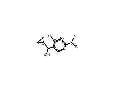 OC(c1cnc(C(F)F)nc1Cl)C1CC1